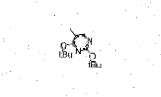 Cc1cnc(OC(C)(C)C)nc1OC(C)(C)C